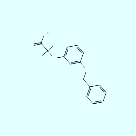 CCC(C)(Oc1cccc(OCc2ccccc2)c1)C(=O)OC